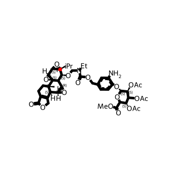 CCN(CO[C@H]1C2[C@H]3O[C@H]3[C@H]3C4=C(CC[C@]3(C)[C@@]23O[C@H]3[C@@H]2O[C@]12C(C)C)C(=O)OC4)C(=O)OCc1ccc(O[C@@H]2OC(C(=O)OC)[C@@H](OC(C)=O)C(OC(C)=O)[C@@H]2OC(C)=O)c(N)c1